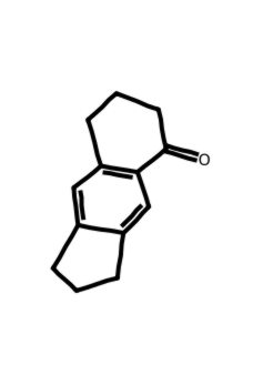 O=C1CCCc2cc3c(cc21)CCC3